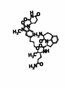 C[C@@H](OCCCc1ccc2c(c1)n(C)c(=O)n2C1CCC(=O)NC1=O)[C@H](CCC(N)=O)NC(=O)[C@@H]1Cc2cccc3c2N1C(=O)[C@@H](N)CC3